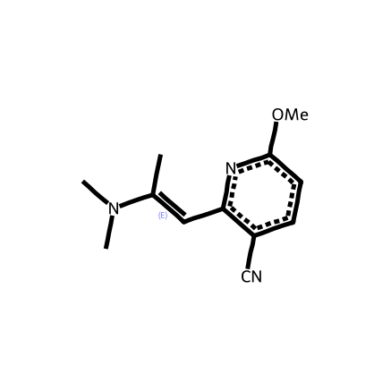 COc1ccc(C#N)c(/C=C(\C)N(C)C)n1